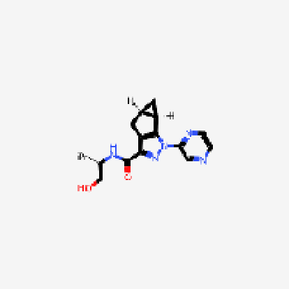 CC(C)[C@@H](CO)NC(=O)c1nn(-c2cnccn2)c2c1C[C@H]1C[C@@H]21